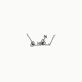 CCCCCCCCCOC(=O)C(C)(C)CCCCCC(CCCCCC(C)(C)CCCCCCCCC)NC(=O)OCCCN(C)C